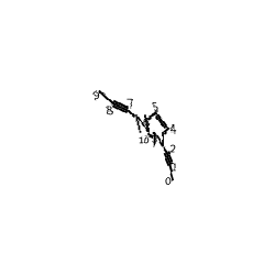 CC#CN1C=CN(C#CC)C1